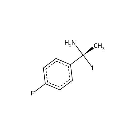 C[C@@](N)(I)c1ccc(F)cc1